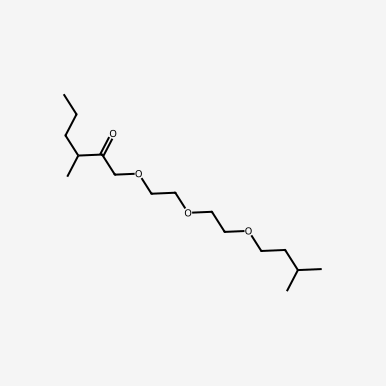 CCCC(C)C(=O)COCCOCCOCCC(C)C